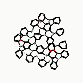 Fc1cccc(F)c1N1c2cc3c(cc2B2c4ccccc4N(c4ccccc4)c4c2c1c1c2ccccc2n2c5ccccc5c4c12)B1c2cc4c(cc2N(c2c(F)cccc2F)c2c1c(c1c5ccccc5n5c6ccccc6c2c15)N3c1c(F)cccc1F)N(c1c(F)cccc1F)c1c2c(c3c5ccccc5n5c6ccccc6c1c35)N(c1ccccc1)c1ccccc1B42